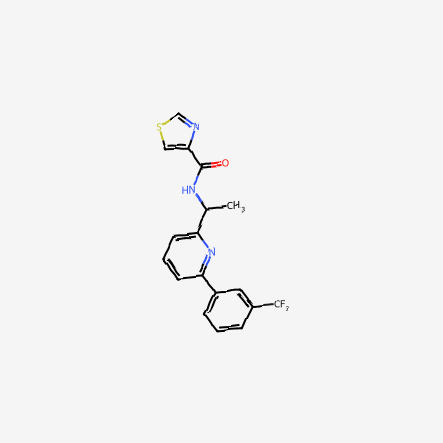 CC(NC(=O)c1cscn1)c1cccc(-c2cccc(C(F)(F)F)c2)n1